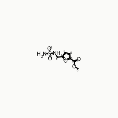 COC(=O)c1ccc(CNS(N)(=O)=O)o1